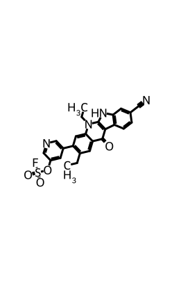 CCc1cc2c(=O)c3c4ccc(C#N)cc4[nH]c3n(CC)c2cc1-c1cncc(OS(=O)(=O)F)c1